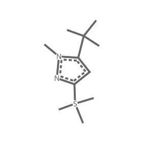 Cn1nc(S(C)(C)C)cc1C(C)(C)C